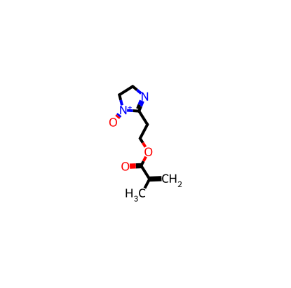 C=C(C)C(=O)OCCC1=NCC[N+]1=O